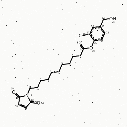 O=C(CCCCCCCCCCN1C(=O)C=CC1=O)Oc1ccc(CO)cc1Cl